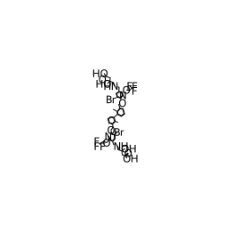 Cc1c(COc2nc(OCC(F)(F)F)c(CNCC(O)CC(=O)O)cc2Br)cccc1-c1cccc(COc2nc(OCC(F)(F)F)c(CNCC(O)CC(=O)O)cc2Br)c1C